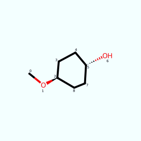 CO[C@H]1CC[C@H](O)CC1